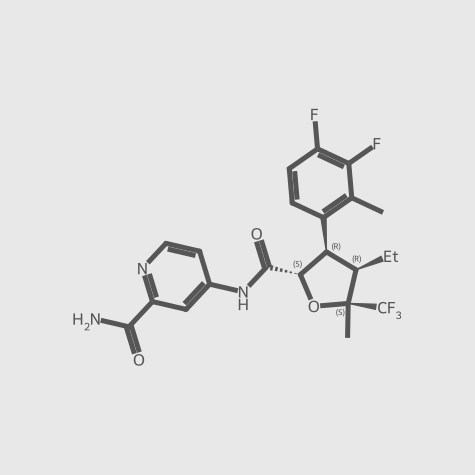 CC[C@@H]1[C@H](c2ccc(F)c(F)c2C)[C@@H](C(=O)Nc2ccnc(C(N)=O)c2)O[C@]1(C)C(F)(F)F